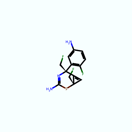 NC1=N[C@](CF)(c2cc(N)ccc2F)C2=C[C@]2(CF)S1